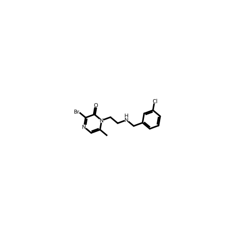 Cc1cnc(Br)c(=O)n1CCNCc1cccc(Cl)c1